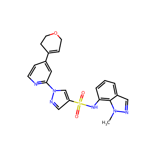 Cn1ncc2cccc(NS(=O)(=O)c3cnn(-c4cc(C5=CCOCC5)ccn4)c3)c21